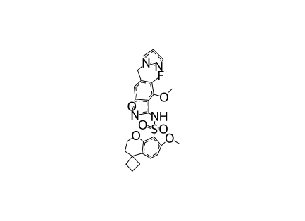 COc1ccc2c(c1S(=O)(=O)Nc1noc3cc(Cn4cccn4)c(F)c(OC)c13)OCCC21CCC1